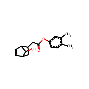 Cc1ccc(OC(=O)CC2CC3C=CC2C3O)cc1C